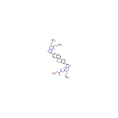 CCCN(Cc1ncc(-c2ccc3c(c2)COc2c-3ccc3cc(-c4cnc(CN(CCC)C(=O)COC)[nH]4)ccc23)[nH]1)C(=O)CNC(=O)OC